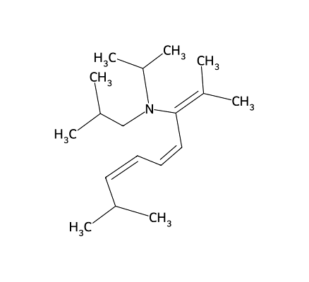 CC(C)=C(/C=C\C=C/C(C)C)N(CC(C)C)C(C)C